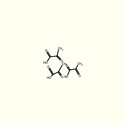 CC(=O)C(=O)O.CC(=O)C(=O)O.CC(=O)C(=O)O